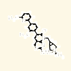 CNc1ncc2cc(-c3ccc(-c4cccc(C)n4)cc3C)c(=O)n(CC3C4CN(C)CC43)c2n1